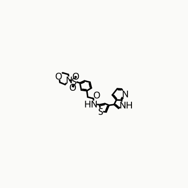 O=C(Cc1cccc(S(=O)(=O)N2CCOCC2)c1)Nc1cc(-c2c[nH]c3ncccc23)cs1